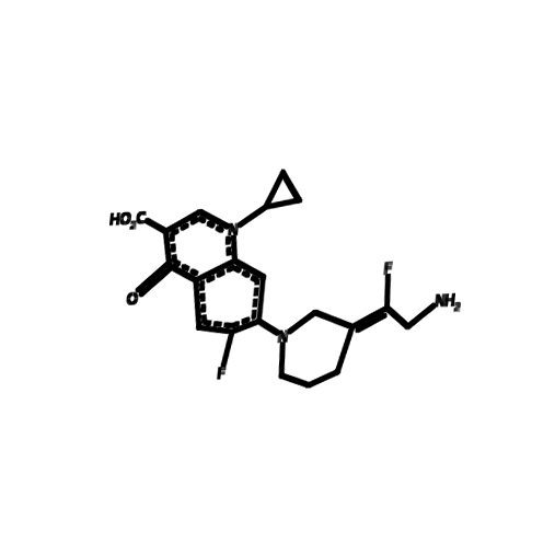 NC/C(F)=C1\CCCN(c2cc3c(cc2F)c(=O)c(C(=O)O)cn3C2CC2)C1